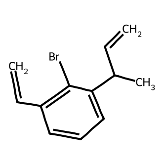 C=C[C](C)c1cccc(C=C)c1Br